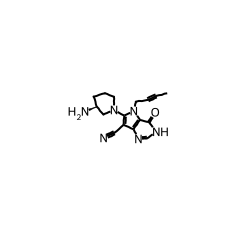 CC#CCn1c(N2CCC[C@H](N)C2)c(C#N)c2nc[nH]c(=O)c21